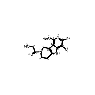 COc1nc(F)c(Cl)c2[nH]c3c(c12)CN(C(=O)CO)CC3